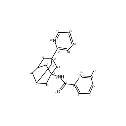 Cc1cccc(C(=O)NC23CC4CC(C2)CC(c2ccccn2)(C4)C3)n1